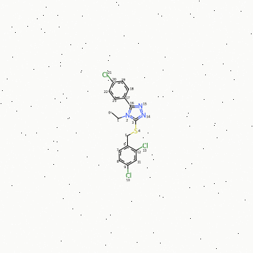 CCn1c(SCc2ccc(Cl)cc2Cl)nnc1-c1ccc(Cl)cc1